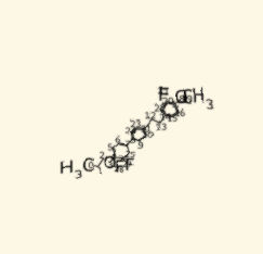 CCCOC1=CC=C(c2ccc(CCc3ccc(OC)c(F)c3)cc2)CC1(F)F